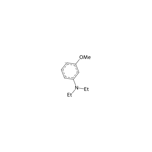 CCN(CC)c1cc[c]c(OC)c1